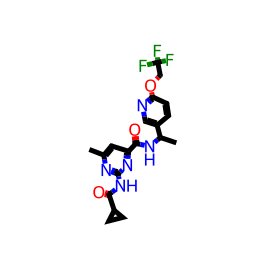 Cc1cc(C(=O)NC(C)c2ccc(OCC(F)(F)F)nc2)nc(NC(=O)C2CC2)n1